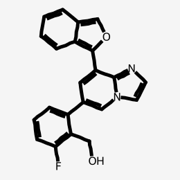 OCc1c(F)cccc1-c1cc(-c2occ3ccccc23)c2nccn2c1